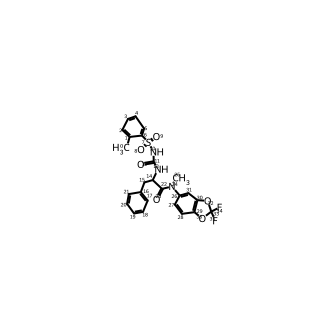 Cc1ccccc1S(=O)(=O)NC(=O)NC(Cc1ccccc1)C(=O)N(C)c1ccc2c(c1)OC(F)(F)O2